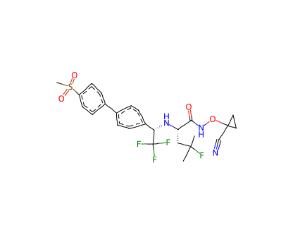 CC(C)(F)C[C@H](N[C@@H](c1ccc(-c2ccc(S(C)(=O)=O)cc2)cc1)C(F)(F)F)C(=O)NOC1(C#N)CC1